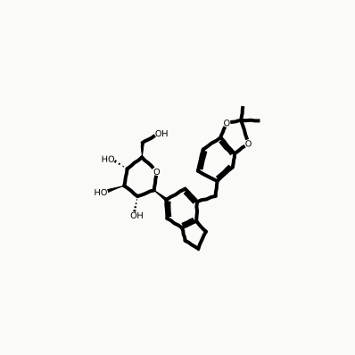 CC1(C)Oc2ccc(Cc3cc([C@@H]4O[C@H](CO)[C@@H](O)[C@H](O)[C@H]4O)cc4c3CCC4)cc2O1